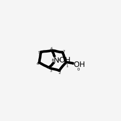 OC1CC2CCC(C1)N2O